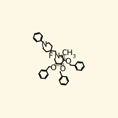 C[C@@H]1[C@@H](OCc2ccccc2)[C@H](OCc2ccccc2)[C@@H](OCc2ccccc2)CN1CC1(F)CCN(c2ccccc2)CC1